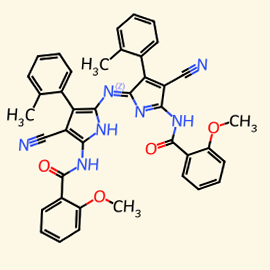 COc1ccccc1C(=O)NC1=N/C(=N\c2[nH]c(NC(=O)c3ccccc3OC)c(C#N)c2-c2ccccc2C)C(c2ccccc2C)=C1C#N